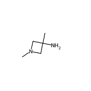 CN1CC(C)(N)C1